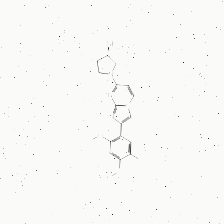 COc1cc(OC)c(-c2cn3ccc(N4CC[C@@H](N)C4)nc3n2)cc1Cl